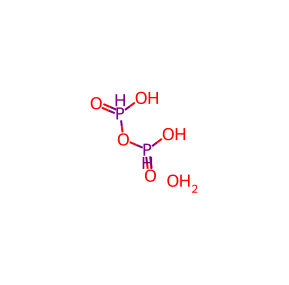 O.O=[PH](O)O[PH](=O)O